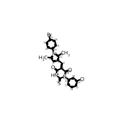 Cc1cc(/C=C2\C(=O)NC(=S)N(c3cccc(Cl)c3)C2=O)c(C)n1-c1ccc(Br)cc1